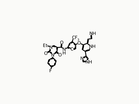 CCn1cc(C(=O)Nc2ccc(OC3=CC(c4c[nH]cn4)=CN/C3=C\C=N)c(C(F)(F)F)c2)c(=O)n(-c2ccc(F)cc2)c1=O